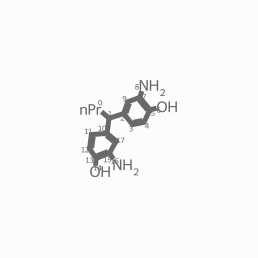 CCCC(c1ccc(O)c(N)c1)c1ccc(O)c(N)c1